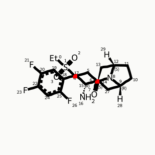 CCS(=O)(=O)CCC(=O)N1[C@@H]2CC[C@H]1C[C@H]([C@H](N)Cc1cc(F)c(F)cc1F)C2